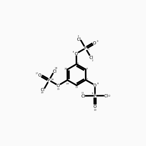 O=P(Cl)(Cl)Oc1cc(OP(=O)(Cl)Cl)cc(OP(=O)(Cl)Cl)c1